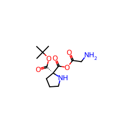 CC(C)(C)OC(=O)[C@@]1(C(=O)OC(=O)CN)CCCN1